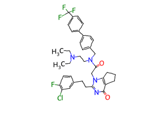 CCN(CC)CCN(Cc1ccc(-c2ccc(C(F)(F)F)cc2)cc1)C(=O)Cn1c(CCc2ccc(F)c(Cl)c2)nc(=O)c2c1CCC2